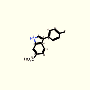 Cc1ccc(-c2c[nH]c3cc(C(=O)O)ccc23)cc1